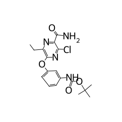 CCc1nc(C(N)=O)c(Cl)nc1Oc1cccc(NC(=O)OC(C)(C)C)c1